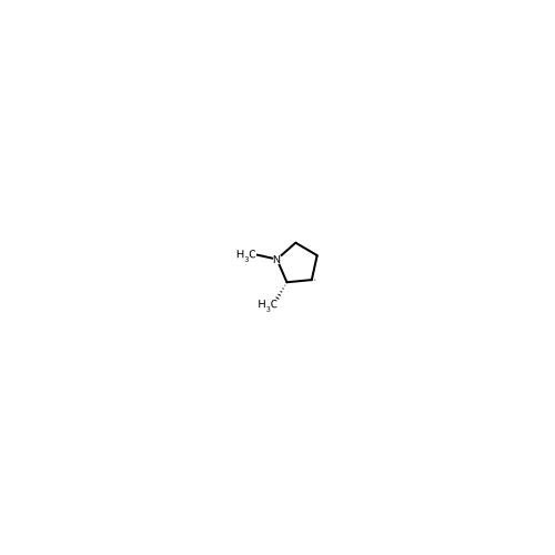 C[C@H]1[CH]CCN1C